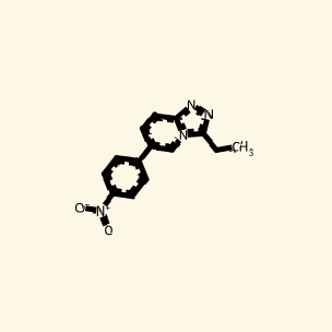 CCc1nnc2ccc(-c3ccc([N+](=O)[O-])cc3)cn12